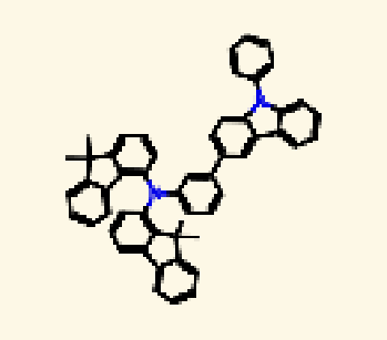 CC1(C)c2ccccc2-c2c(N(c3cccc(-c4ccc5c(c4)c4ccccc4n5-c4ccccc4)c3)c3cccc4c3C(C)(C)c3ccccc3-4)cccc21